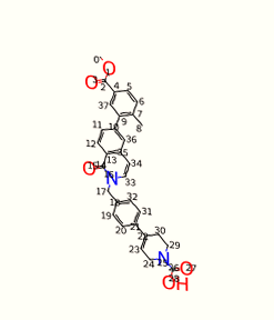 COC(=O)c1ccc(C)c(-c2ccc3c(=O)n(Cc4ccc(C5=CCN(C(=O)O)CC5)cc4)ccc3c2)c1